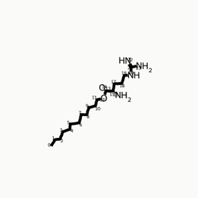 CCCCCCCCCCCCOC(=O)[C@@H](N)CCCNC(=N)N